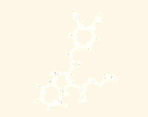 CCOC(=O)c1c(NCc2ccc(Cl)c(Cl)c2)nc2cccnn12